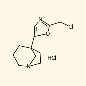 Cl.ClCc1ncc(C23CCCN(CC2)C3)o1